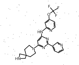 FC(F)(F)Oc1ccnc(Nc2cc(N3CCC4(CC3)CNC4)nc(-c3cccnc3)n2)c1